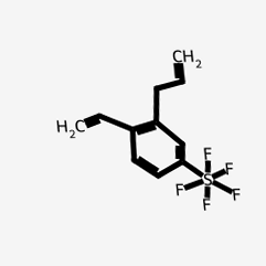 C=CCc1cc(S(F)(F)(F)(F)F)ccc1C=C